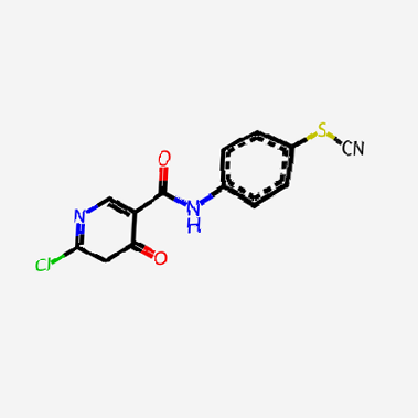 N#CSc1ccc(NC(=O)C2=CN=C(Cl)CC2=O)cc1